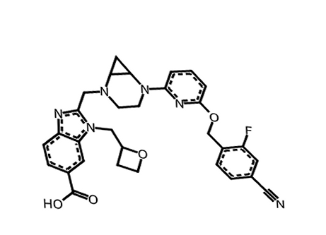 N#Cc1ccc(COc2cccc(N3CCN(Cc4nc5ccc(C(=O)O)cc5n4CC4CCO4)C4CC43)n2)c(F)c1